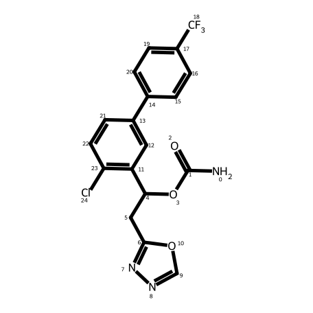 NC(=O)OC(Cc1nnco1)c1cc(-c2ccc(C(F)(F)F)cc2)ccc1Cl